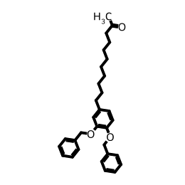 CC(=O)CCCCCCCCCc1ccc(OCc2ccccc2)c(OCc2ccccc2)c1